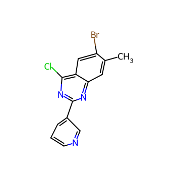 Cc1cc2nc(-c3cccnc3)nc(Cl)c2cc1Br